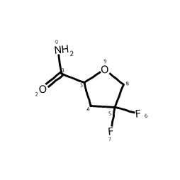 NC(=O)C1CC(F)(F)CO1